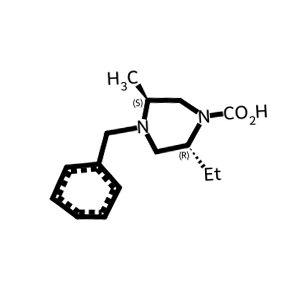 CC[C@@H]1CN(Cc2ccccc2)[C@@H](C)CN1C(=O)O